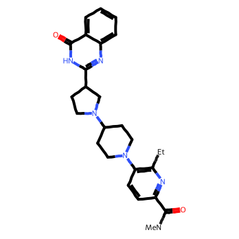 CCc1nc(C(=O)NC)ccc1N1CCC(N2CCC(c3nc4ccccc4c(=O)[nH]3)C2)CC1